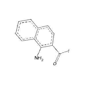 Nc1c(C(=O)I)ccc2ccccc12